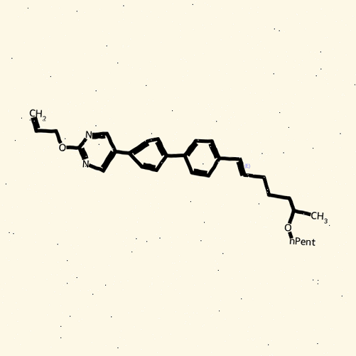 C=CCOc1ncc(-c2ccc(-c3ccc(/C=C/CCCC(C)OCCCCC)cc3)cc2)cn1